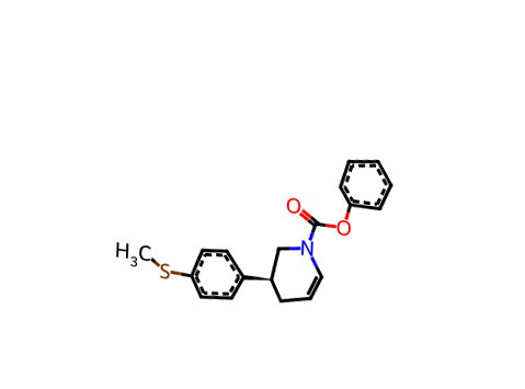 CSc1ccc([C@@H]2CC=CN(C(=O)Oc3ccccc3)C2)cc1